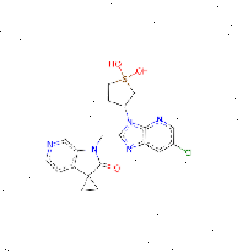 O=C1N(Cc2nc3cc(Cl)cnc3n2C2CCS(O)(O)C2)c2cnccc2C12CC2